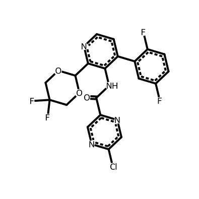 O=C(Nc1c(-c2cc(F)ccc2F)ccnc1C1OCC(F)(F)CO1)c1cnc(Cl)cn1